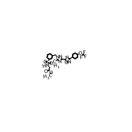 COC(=O)CNS(=O)(=O)c1cccc(Cn2nc(-c3nc(-c4ccc(OC(F)(F)F)cc4)no3)nc2C)c1